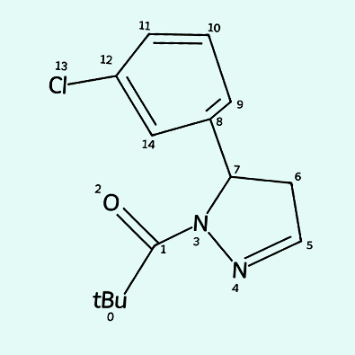 CC(C)(C)C(=O)N1N=CCC1c1cccc(Cl)c1